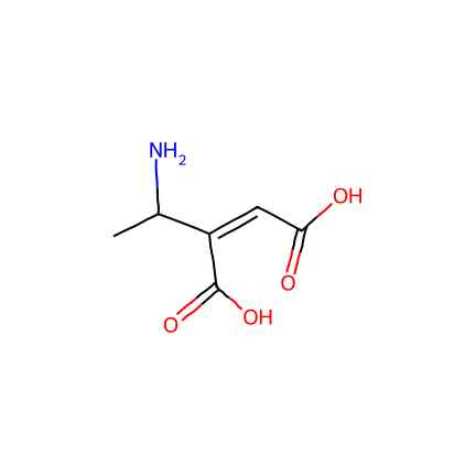 CC(N)C(=CC(=O)O)C(=O)O